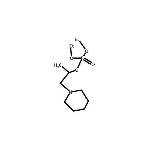 CCOP(=O)(OCC)OC(C)CN1CCCCC1